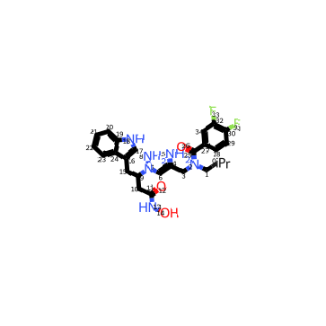 CC(C)CN(C/C(N)=C/N(N)C(CC(=O)NO)Cc1c[nH]c2ccccc12)C(=O)c1ccc(F)c(F)c1